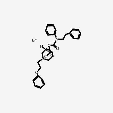 O=C(O[C@H]1C[N+]2(CCOc3ccccc3)CCC1CC2)N(CCc1ccccc1)c1ccccc1.[Br-]